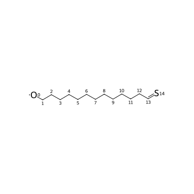 [O]CCCCCCCCCCCCC=S